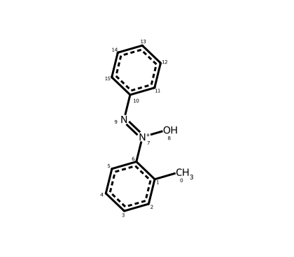 Cc1ccccc1[N+](O)=Nc1ccccc1